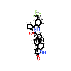 C[C@]12C=CC(=O)NC1CC[C@@H]1[C@H]2CC[C@]2(C)C(C(=O)NC3(c4cccc(C(F)(F)F)c4)CCCC3)CC[C@@H]12